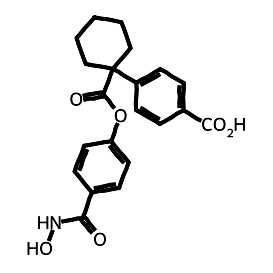 O=C(O)c1ccc(C2(C(=O)Oc3ccc(C(=O)NO)cc3)CCCCC2)cc1